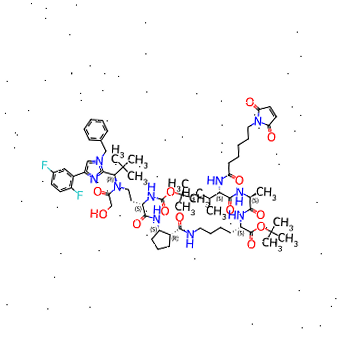 CC(C)[C@H](NC(=O)CCCCCN1C(=O)C=CC1=O)C(=O)N[C@@H](C)C(=O)N[C@@H](CCCCNC(=O)[C@@H]1CCC[C@@H]1NC(=O)[C@H](CCN(C(=O)CO)[C@@H](c1nc(-c2cc(F)ccc2F)cn1Cc1ccccc1)C(C)(C)C)NC(=O)OC(C)(C)C)C(=O)OC(C)(C)C